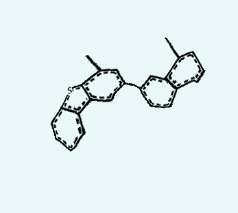 Cc1cccc2ccc(-c3cc(C)c4sc5ccccc5c4c3)cc12